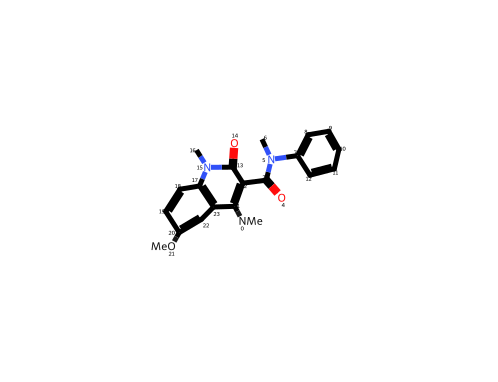 CNc1c(C(=O)N(C)c2ccccc2)c(=O)n(C)c2ccc(OC)cc12